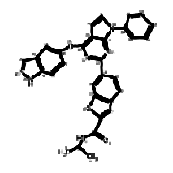 CC(C)NC(=O)c1cc2ccc(-c3nc(Oc4ccc5[nH]ncc5c4)c4ccn(-c5ccccc5)c4n3)cc2s1